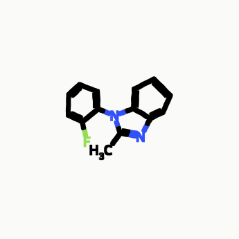 Cc1nc2ccccc2n1-c1ccccc1F